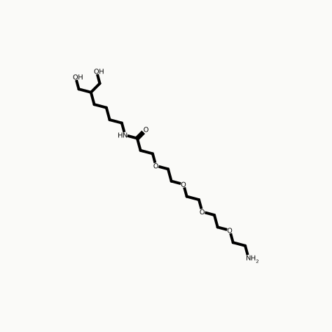 NCCOCCOCCOCCOCCC(=O)NCCCCC(CO)CO